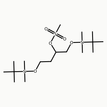 CC(C)(C)[Si](C)(C)OCCC(CO[Si](C)(C)C(C)(C)C)OS(C)(=O)=O